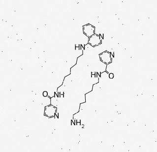 NCCCCCCCCNC(=O)c1cccnc1.O=C(NCCCCCCCCNc1ccnc2ccccc12)c1cccnc1